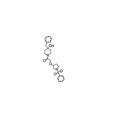 O=C(COC1CCN(S(=O)(=O)c2ccccc2)C1)N1CCC(O)(Cc2ccccc2)CC1